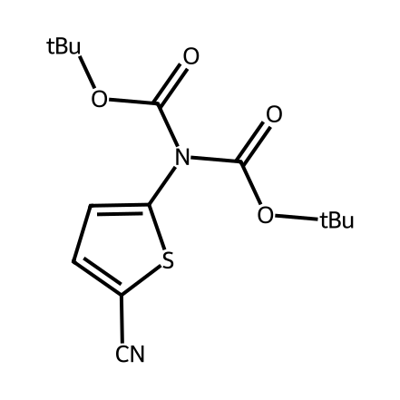 CC(C)(C)OC(=O)N(C(=O)OC(C)(C)C)c1ccc(C#N)s1